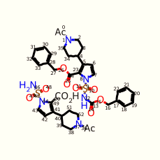 CC(=O)N1CCC(c2ccn(S(=O)(=O)NC(=O)OCc3ccccc3)c2C(=O)OCc2ccccc2)CC1.CC(=O)N1CCC(c2ccn(S(N)(=O)=O)c2C(=O)O)CC1